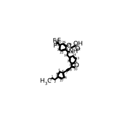 CCCc1ccc(C#Cc2coc3ccc(CC(NC(=O)C(=O)O)c4ccc(C(F)(F)F)cc4)cc23)cc1